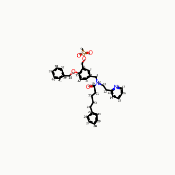 CS(=O)(=O)OCc1cc(CN(CCc2ccccn2)C(=O)CCCCc2ccccc2)ccc1OCc1ccccc1